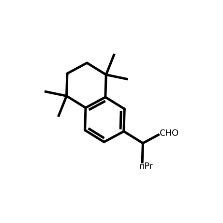 CCCC(C=O)c1ccc2c(c1)C(C)(C)CCC2(C)C